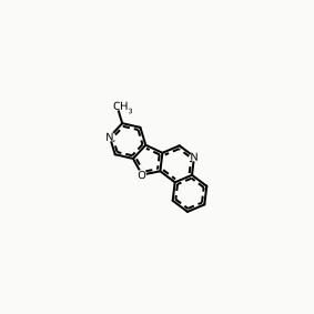 Cc1cc2c(cn1)oc1c3ccccc3ncc21